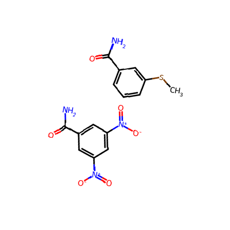 CSc1cccc(C(N)=O)c1.NC(=O)c1cc([N+](=O)[O-])cc([N+](=O)[O-])c1